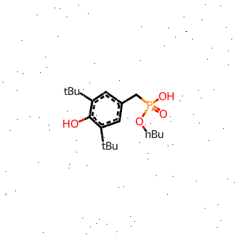 CCCCOP(=O)(O)Cc1cc(C(C)(C)C)c(O)c(C(C)(C)C)c1